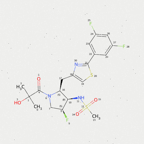 CC(C)(O)C(=O)N1C[C@H](F)[C@H](NS(C)(=O)=O)[C@@H]1Cc1csc(-c2cc(F)cc(F)c2)n1